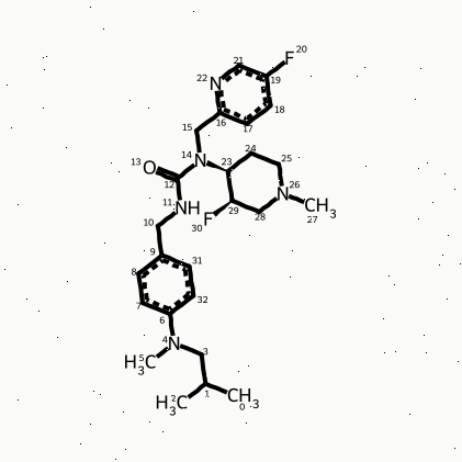 CC(C)CN(C)c1ccc(CNC(=O)N(Cc2ccc(F)cn2)[C@H]2CCN(C)C[C@H]2F)cc1